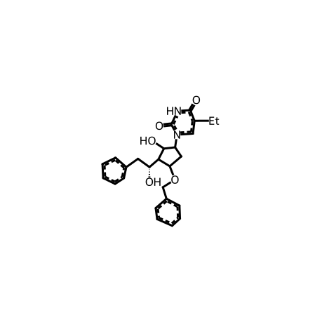 CCc1cn(C2CC(OCc3ccccc3)C([C@H](O)Cc3ccccc3)C2O)c(=O)[nH]c1=O